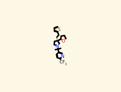 CC(C)(c1ccc(C(F)(F)F)nc1)N1CC[C@@](CCc2cccs2)(C2CCCO2)C1